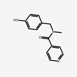 CN(Cc1ccc(O)cc1)C(=O)c1ccncc1